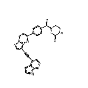 O=C1CN(C(=O)c2ccc(-c3ccc4ncc(C#Cc5ccnc6[nH]ccc56)n4n3)cc2)CCN1